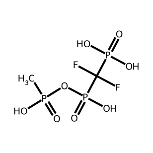 CP(=O)(O)OP(=O)(O)C(F)(F)P(=O)(O)O